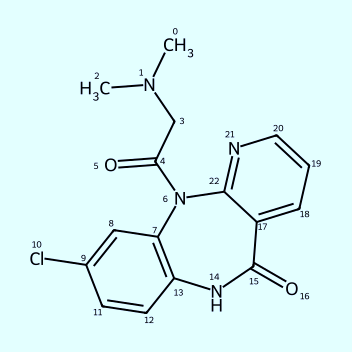 CN(C)CC(=O)N1c2cc(Cl)ccc2NC(=O)c2cccnc21